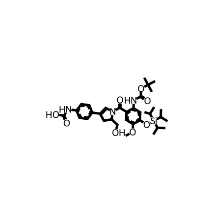 COc1cc(C(=O)N2C=C(c3ccc(NC(=O)O)cc3)CC2CO)c(NC(=O)OC(C)(C)C)cc1O[Si](C(C)C)(C(C)C)C(C)C